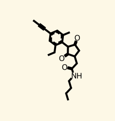 CC#Cc1cc(C)c(C2C(=O)CC(CC(=O)NCCCC)C2=O)c(CC)c1